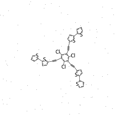 Clc1c(C#Cc2ccc(-c3cccs3)s2)c(Cl)c(C#Cc2ccc(-c3cccs3)s2)c(Cl)c1C#Cc1ccc(-c2cccs2)s1